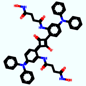 O=C(CCC(=O)NC1=CC(=[N+](c2ccccc2)c2ccccc2)C=C/C1=C1\C(=O)C(c2ccc(N(c3ccccc3)c3ccccc3)cc2NC(=O)CCC(=O)NO)=C1[O-])NO